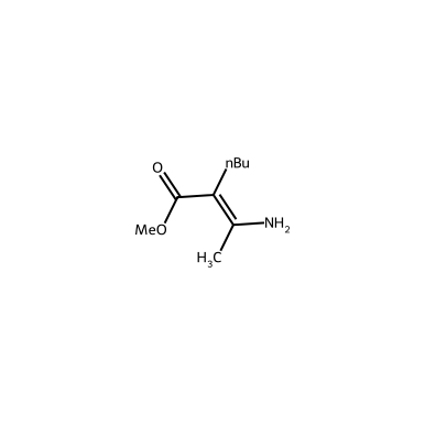 CCCCC(C(=O)OC)=C(C)N